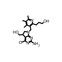 Cc1nc(CCCO)c(CN2CC(CO)c3c(Cl)nc(N)nc32)c(C)c1C